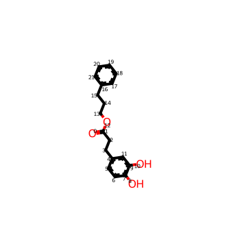 O=C(CCc1ccc(O)c(O)c1)OCCCc1ccccc1